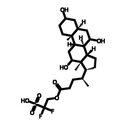 C[C@H](CCC(=O)OCC(F)(F)S(=O)(=O)O)[C@H]1CC[C@H]2[C@@H]3C(O)C[C@@H]4CC(O)CC[C@]4(C)[C@H]3CC(O)[C@]12C